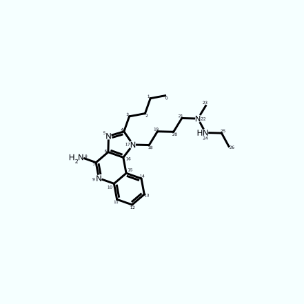 CCCCc1nc2c(N)nc3ccccc3c2n1CCCCN(C)NCC